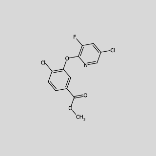 COC(=O)c1ccc(Cl)c(Oc2ncc(Cl)cc2F)c1